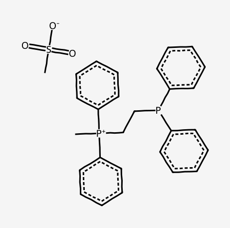 CS(=O)(=O)[O-].C[P+](CCP(c1ccccc1)c1ccccc1)(c1ccccc1)c1ccccc1